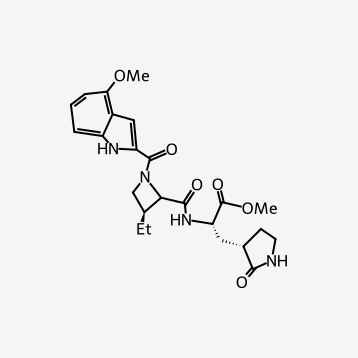 CC[C@H]1CN(C(=O)c2cc3c(OC)cccc3[nH]2)C1C(=O)N[C@@H](C[C@@H]1CCNC1=O)C(=O)OC